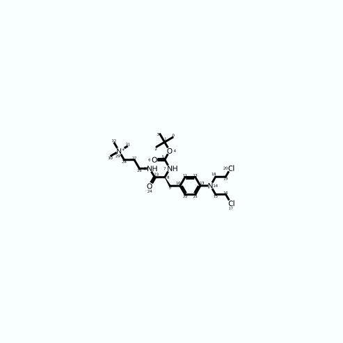 CC(C)(C)OC(=O)N[C@@H](Cc1ccc(N(CCCl)CCCl)cc1)C(=O)NCCC[N+](C)(C)C